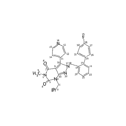 CC(C)Cn1c(=O)n(C)c(=O)c2c(-c3ccncc3)n(Cc3ccccc3-c3ccc(F)cc3)nc21